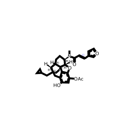 CC(=O)Oc1cc(O)c2c3c1O[C@H]1[C@H](N(C)C(=O)/C=C/c4ccoc4)CC[C@H]4[C@@H](C2)N(CC2CC2)CC[C@@]341